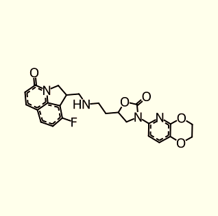 O=C1OC(CCNCC2Cn3c(=O)ccc4ccc(F)c2c43)CN1c1ccc2c(n1)OCCO2